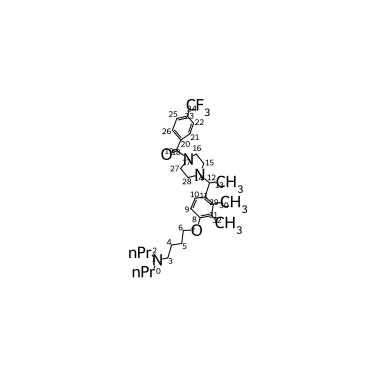 CCCN(CCC)CCCCOc1ccc(C(C)N2CCN(C(=O)c3ccc(C(F)(F)F)cc3)CC2)c(C)c1C